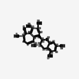 O=c1c(O)cccc2c([C@H]3Oc4cc(O)cc(O)c4C[C@@H]3O)cc(O)c(O)c12